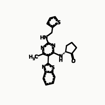 Cc1nc(NCc2cccs2)nc(N[C@@H]2CCCC2=O)c1-c1nc2ccccc2s1